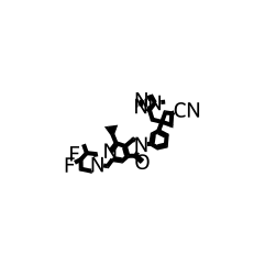 CC1CN(Cc2cc3c(c(C4CC4)n2)CN(c2cccc(C4(Cc5nncn5C)CC(C#N)C4)c2)C3=O)CCC1(F)F